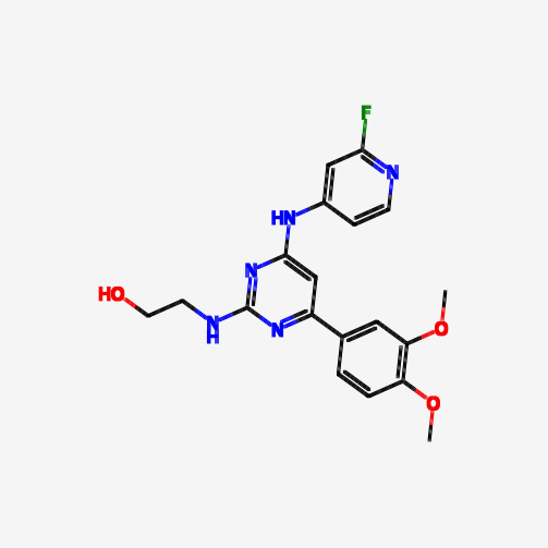 COc1ccc(-c2cc(Nc3ccnc(F)c3)nc(NCCO)n2)cc1OC